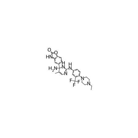 CCN1CCN(c2ccc(NC3=NC=C(C)C(N)(c4ccc5oc(=O)[nH]c5c4)N3)cc2C(F)(F)F)CC1